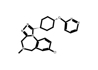 CN1Cc2cc(Cl)ccc2-n2c(nnc2[C@H]2CC[C@@H](Oc3cccnn3)CC2)C1